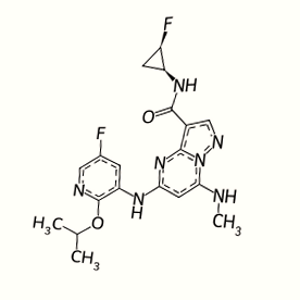 CNc1cc(Nc2cc(F)cnc2OC(C)C)nc2c(C(=O)N[C@H]3C[C@H]3F)cnn12